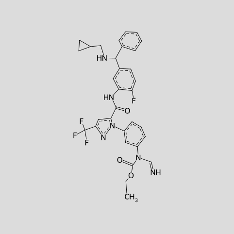 CCOC(=O)N(C=N)c1cccc(-n2nc(C(F)(F)F)cc2C(=O)Nc2cc(C(NCC3CC3)c3ccccc3)ccc2F)c1